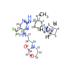 CCc1cc(N2C[C@H]3CC[C@@H](C2)N3C)ccc1Nc1ncc(C(F)F)c(NCCCN2CCCOCC2=O)n1